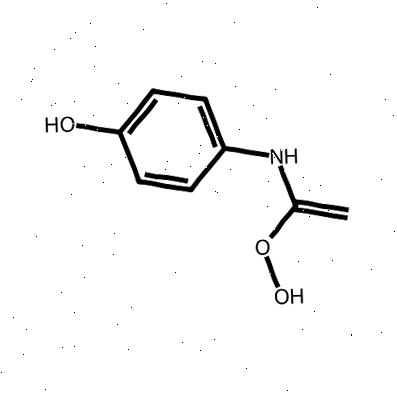 C=C(Nc1ccc(O)cc1)OO